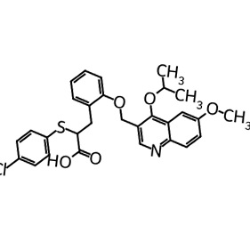 COc1ccc2ncc(COc3ccccc3CC(Sc3ccc(Cl)cc3)C(=O)O)c(OC(C)C)c2c1